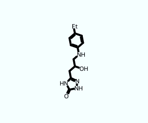 CCc1ccc(NCC(O)Cc2n[nH]c(=O)[nH]2)cc1